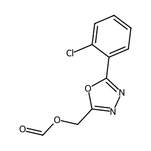 O=COCc1nnc(-c2ccccc2Cl)o1